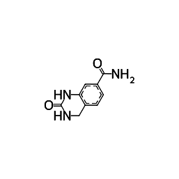 NC(=O)c1ccc2c(c1)NC(=O)NC2